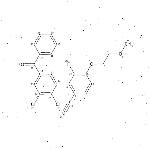 COCCOc1ccc(C#N)c(-c2cc(C(=O)c3ccccc3)cc(Cl)c2Cl)c1F